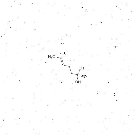 CC(Cl)=CCCP(=O)(O)O